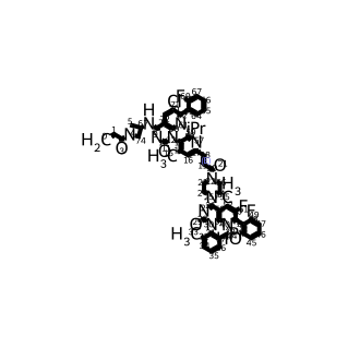 C=CC(=O)N1CC(Nc2nc(=O)n(-c3c(C)cc(/C=C/C(=O)N4CCN(c5nc(=O)n(-c6c(C)cccc6C(C)C)c6nc(-c7c(O)cccc7F)c(F)cc56)[C@@H](C)C4)nc3C(C)C)c3nc(-c4ccccc4F)c(Cl)cc23)C1